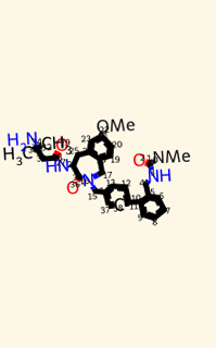 CNC(=O)NCc1ccccc1-c1ccc(CN2Cc3ccc(OC)cc3C[C@@H](NC(=O)CC(C)(C)N)C2=O)cc1